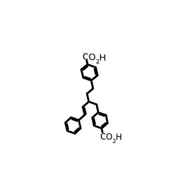 O=C(O)c1ccc(CCC(C=Cc2ccccc2)Cc2ccc(C(=O)O)cc2)cc1